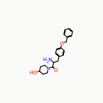 NC(Cc1ccc(OCc2ccccc2)cc1)C(=O)N1CCC(O)CC1